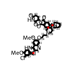 COc1cc(Nc2c(C#N)cnc3cc(OCCCN4CCC(CN5C6CCC5CN(c5ccc7c(c5)C(=O)N(C5CCC(=O)NC5=O)C7=O)C6)CC4)c(OC)cc23)c(Cl)cc1Cl